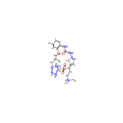 Cc1ccc(NC(=O)Nc2ncc(C(CCN(C)C)S(=O)(=O)c3nnn[nH]3)s2)c(OCC(C)C)c1